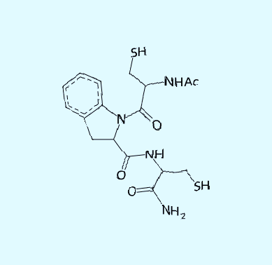 CC(=O)NC(CS)C(=O)N1c2ccccc2CC1C(=O)NC(CS)C(N)=O